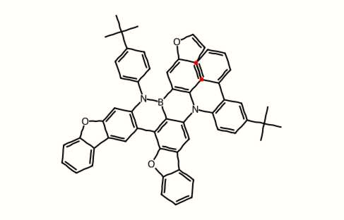 CC(C)(C)c1ccc(N2B3c4cc5occc5cc4N(c4ccc(C(C)(C)C)cc4-c4ccccc4)c4cc5c(oc6ccccc65)c(c43)-c3cc4c(cc32)oc2ccccc24)cc1